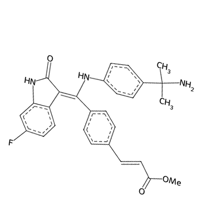 COC(=O)/C=C/c1ccc(/C(Nc2ccc(C(C)(C)N)cc2)=C2/C(=O)Nc3cc(F)ccc32)cc1